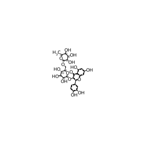 C[C@H]1O[C@@H](OC[C@H]2O[C@@H](Oc3c(-c4ccc(O)c(O)c4)oc4cc(O)cc(O)c4c3=O)[C@H](O)[C@@H](O)[C@@H]2O)[C@@H](O)[C@@H](O)[C@@H]1O